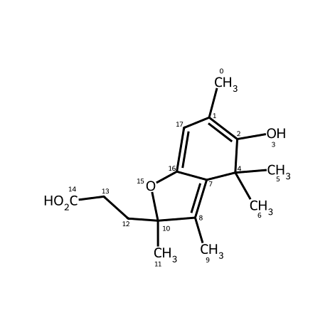 CC1=C(O)C(C)(C)C2=C(C)C(C)(CCC(=O)O)OC2=C1